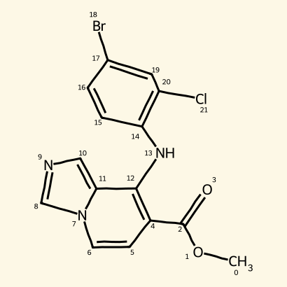 COC(=O)c1ccn2cncc2c1Nc1ccc(Br)cc1Cl